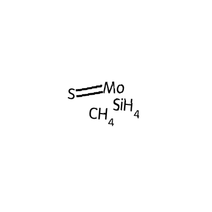 C.[S]=[Mo].[SiH4]